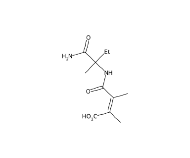 CCC(C)(NC(=O)/C(C)=C(/C)C(=O)O)C(N)=O